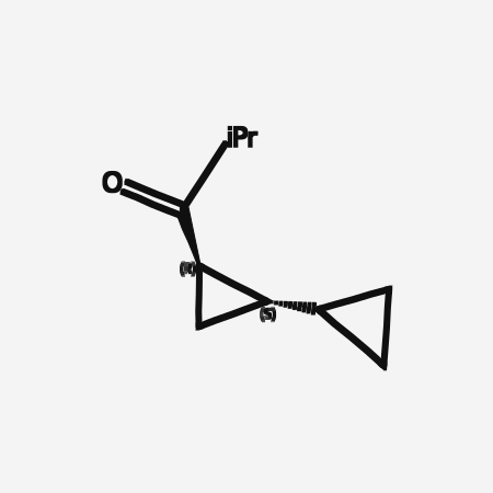 CC(C)C(=O)[C@@H]1C[C@H]1C1CC1